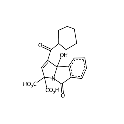 O=C(C1=CC(C(=O)O)(C(=O)O)N2C(=O)c3ccccc3C12O)C1CCCCC1